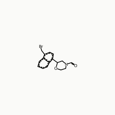 O=CN1CCOC(c2ccc(CBr)c3ccccc23)C1